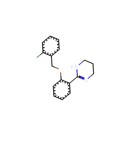 Fc1ccccc1CSc1ccccc1C1=NCCCN1